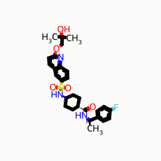 C[C@@H](NC(=O)[C@H]1CC[C@H](NS(=O)(=O)c2ccc3nc(OCC(C)(C)O)ccc3c2)CC1)c1ccc(F)cc1